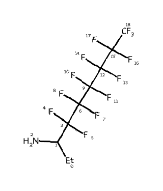 CCC(N)C(F)(F)C(F)(F)C(F)(F)C(F)(F)C(F)(F)C(F)(F)F